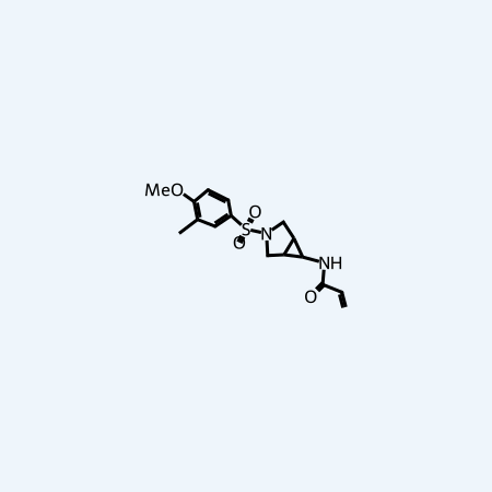 C=CC(=O)NC1C2CN(S(=O)(=O)c3ccc(OC)c(C)c3)CC21